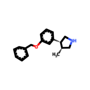 C[C@H]1CNC[C@H]1c1cccc(OCc2ccccc2)c1